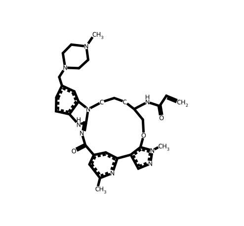 C=CC(=O)NC1CCCN2/C(=N/C(=O)c3cc(C)nc(c3)-c3cnn(C)c3OC1)Nc1ccc(CN3CCN(C)CC3)cc12